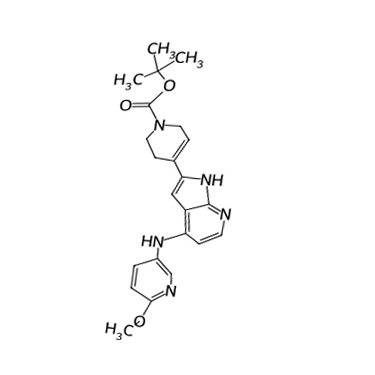 COc1ccc(Nc2ccnc3[nH]c(C4=CCN(C(=O)OC(C)(C)C)CC4)cc23)cn1